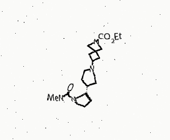 CCOC(=O)N1CC2(CC(N3CCC([C@@H]4CCCN4C(=O)NC)CC3)C2)C1